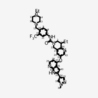 CCC1CN(C(=O)Nc2ccc(CN3CCN(CC)CC3)c(C(F)(F)F)c2)Cc2cc(Oc3ccnc4[nH]c(-c5cnn(C)c5)cc34)cnc21